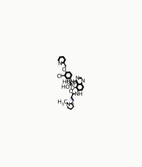 CN1CCC[C@@H]1/C=C/C(=O)Nc1ccc2ncnc(Nc3ccc(OCc4ccccn4)c(Cl)c3)c2c1OC(O)(O)O